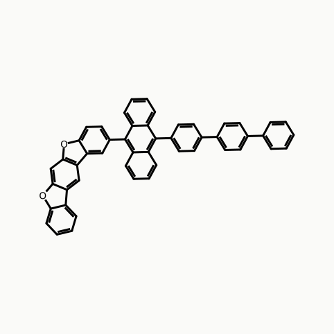 c1ccc(-c2ccc(-c3ccc(-c4c5ccccc5c(-c5ccc6oc7cc8oc9ccccc9c8cc7c6c5)c5ccccc45)cc3)cc2)cc1